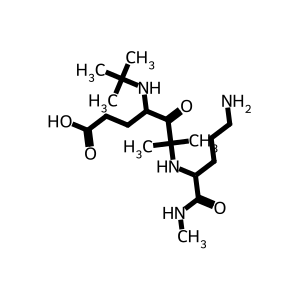 CNC(=O)C(CCCN)NC(C)(C)C(=O)C(CCC(=O)O)NC(C)(C)C